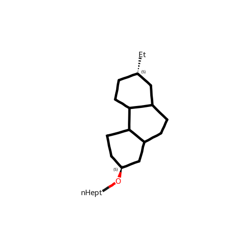 CCCCCCCO[C@H]1CCC2C(CCC3C[C@@H](CC)CCC32)C1